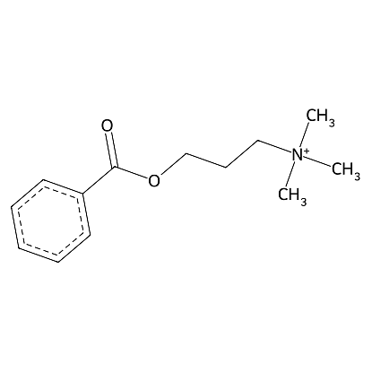 C[N+](C)(C)CCCOC(=O)c1ccccc1